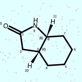 O=C1C[C@H]2CCCC[C@H]2N1